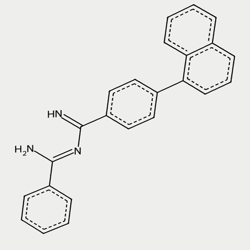 N=C(/N=C(\N)c1ccccc1)c1ccc(-c2cccc3ccccc23)cc1